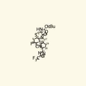 CC(C)(C)OC(=O)N[C@H]1CSc2cc(F)c(C#N)cc2N(Cc2ccc(-c3noc(C(F)(F)F)n3)cc2)C1=O